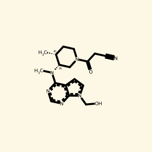 C[C@@H]1CCN(C(=O)CC#N)C[C@@H]1N(C)c1ncnc2c1ccn2CO